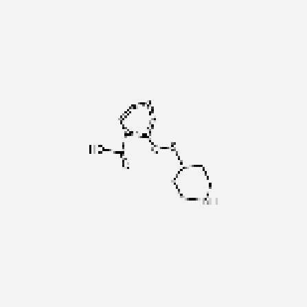 O=C(O)c1ccccc1OSC1CCNCC1